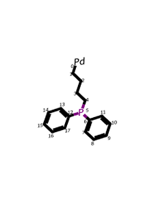 [Pd][CH2]CCCP(c1ccccc1)c1ccccc1